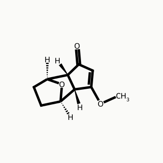 COC1=CC(=O)[C@@H]2[C@H]1[C@H]1CC[C@@H]2O1